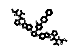 COC(=O)N[C@H](C(=O)N1CCC[C@H]1c1nc2cc([C@H]3CC[C@H](c4ccc5[nH]c([C@@H]6CCCN6C(=O)[C@@H](NC(=O)OC)C(C)C)nc5c4)N3c3ccc(N4CCC(c5ccccc5)CC4)c(F)c3)ccc2[nH]1)C(C)C